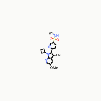 COc1cnc2c(c1)c(C#N)c(-c1ccc(S(=O)(=O)NC(C)C)cn1)n2C1CCC1